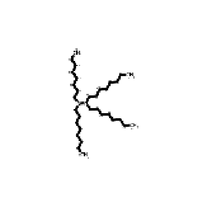 CCCCCCCCN(CCCCCCCC)N(CCCCCCCC)CCCCCCCC